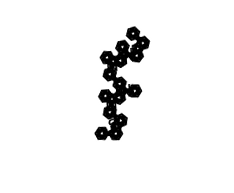 c1ccc(-c2cccc3c2Cc2c-3cccc2-n2c3ccccc3c3c4c5ccccc5n(-c5cccc(-c6ccc7c(c6)c6c8c9ccccc9n(-c9cccc(-c%10cccc%11c%10sc%10c(-c%12ccccc%12)cccc%10%11)c9)c8ccc6n7-c6ccccc6)c5)c4ccc32)cc1